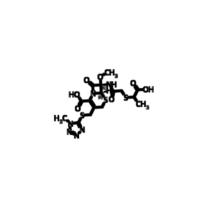 CO[C@@]1(NC(=O)CSC(C)C(=O)O)C(=O)N2C(C(=O)O)=C(CSc3nnnn3C)CS[C@@H]21